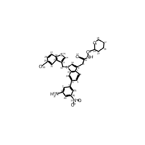 Nc1cc(-c2ccc3c(CC(=O)NOC4CCCCO4)cn(Cc4csc5ccc(Cl)cc45)c3c2)cc([N+](=O)[O-])c1